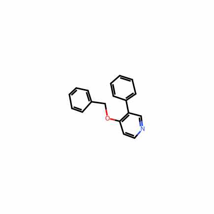 c1ccc(COc2ccncc2-c2ccccc2)cc1